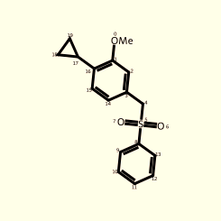 COc1cc(CS(=O)(=O)c2ccccc2)ccc1C1CC1